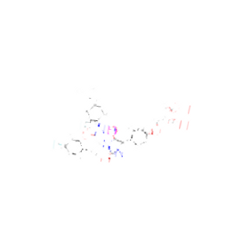 O=C(Nc1ccc(C2CC2)cc1F)[C@H](Cc1ccc(F)cc1)N1C(=O)N[C@H](c2ccc(OC[C@@H](O)CO)cc2)C1=O